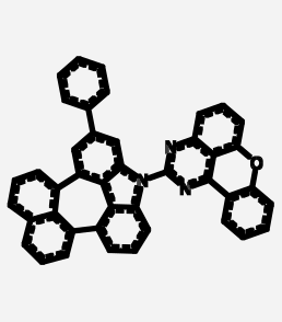 c1ccc(-c2cc3c4c5c(cccc5n(-c5nc6c7c(cccc7n5)Oc5ccccc5-6)c4c2)-c2cccc4cccc-3c24)cc1